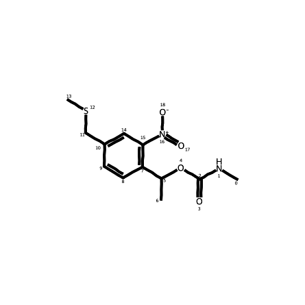 CNC(=O)OC(C)c1ccc(CSC)cc1[N+](=O)[O-]